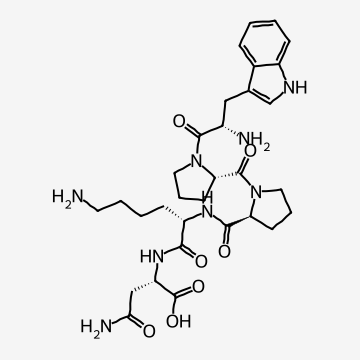 NCCCC[C@H](NC(=O)[C@@H]1CCCN1C(=O)[C@@H]1CCCN1C(=O)[C@@H](N)Cc1c[nH]c2ccccc12)C(=O)N[C@@H](CC(N)=O)C(=O)O